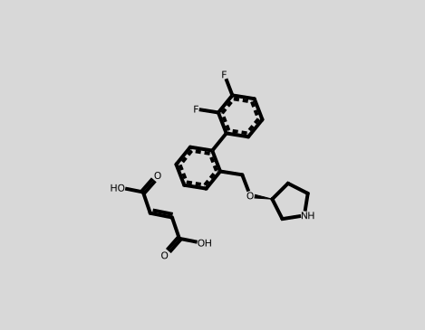 Fc1cccc(-c2ccccc2CO[C@H]2CCNC2)c1F.O=C(O)C=CC(=O)O